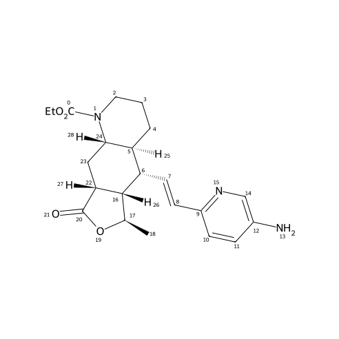 CCOC(=O)N1CCC[C@H]2[C@H](/C=C/c3ccc(N)cn3)[C@@H]3[C@@H](C)OC(=O)[C@@H]3C[C@@H]21